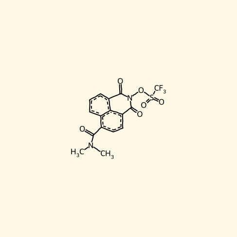 CN(C)C(=O)c1ccc2c3c(cccc13)C(=O)N(OS(=O)(=O)C(F)(F)F)C2=O